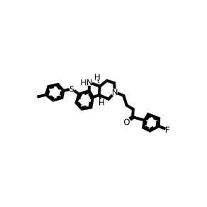 Cc1ccc(Sc2cccc3c2N[C@H]2CCN(CCCC(=O)c4ccc(F)cc4)C[C@H]32)cc1